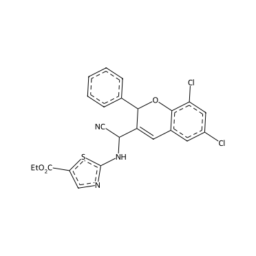 CCOC(=O)c1cnc(NC(C#N)C2=Cc3cc(Cl)cc(Cl)c3OC2c2ccccc2)s1